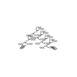 O=C([O-])CN(CCN(CC(=O)[O-])CC(=O)[O-])CC(=O)[O-].O=C([O-])CN(CCN(CC(=O)[O-])CC(=O)[O-])CC(=O)[O-].O=C([O-])CN(CCN(CC(=O)[O-])CC(=O)[O-])CC(=O)[O-].O=C([O-])CN(CCN(CC(=O)[O-])CC(=O)[O-])CC(=O)[O-].O=C([O-])CN(CCN(CC(=O)[O-])CC(=O)[O-])CC(=O)[O-].[Fe+2].[Fe+2].[Fe+2].[Fe+2].[Fe+3].[Fe+3].[Fe+3].[Fe+3]